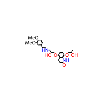 COc1ccc(CCNCC(O)COc2ccc(OCC(C)O)c3c2CCC(=O)N3)cc1OC